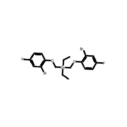 C[CH2][Ge]([CH2]C)([CH2]Oc1ccc(F)cc1Br)[CH2]Oc1ccc(F)cc1Br